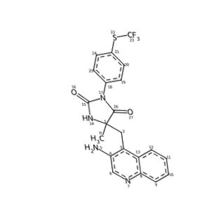 CC1(Cc2c(N)cnc3ccccc23)NC(=O)N(c2ccc(SC(F)(F)F)cc2)C1=O